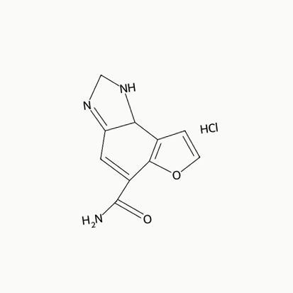 Cl.NC(=O)C1=CC2=NCNC2c2ccoc21